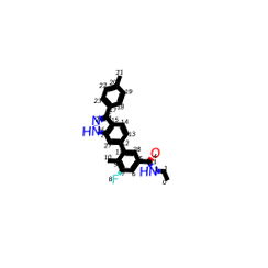 CCNC(=O)c1cc(F)c(C)c(-c2ccc3c(-c4ccc(C)cc4)n[nH]c3c2)c1